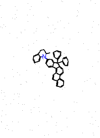 CC1CCc2ccccc2N1c1ccc2c(c1)C(c1ccccc1)(c1ccccc1)c1ccc3c(ccc4ccccc43)c1-2